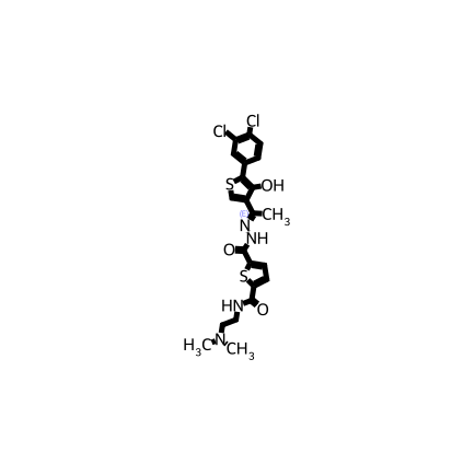 C/C(=N\NC(=O)c1ccc(C(=O)NCCN(C)C)s1)c1csc(-c2ccc(Cl)c(Cl)c2)c1O